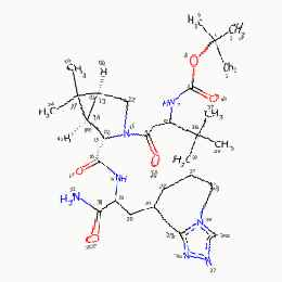 CC(C)(C)OC(=O)NC(C(=O)N1C[C@H]2[C@@H]([C@H]1C(=O)NC(CC1CCCn3cnnc31)C(N)=O)C2(C)C)C(C)(C)C